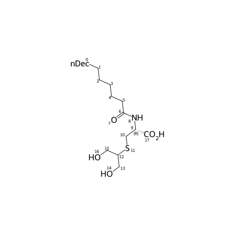 CCCCCCCCCCCCCCCC(=O)N[C@@H](CSC(CO)CO)C(=O)O